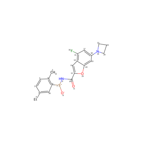 CCc1ccc(C)c([S+]([O-])NC(=O)c2cc3c(F)cc(N4CCC4)cc3o2)c1